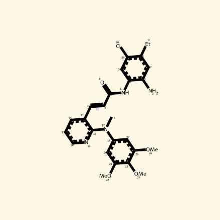 CCc1cc(N)c(NC(=O)/C=C/c2cccnc2N(C)c2cc(OC)c(OC)c(OC)c2)cc1Cl